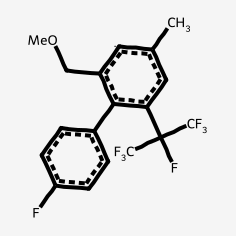 COCc1[c]c(C)cc(C(F)(C(F)(F)F)C(F)(F)F)c1-c1ccc(F)cc1